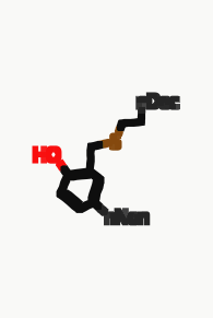 CCCCCCCCCCCCSCc1cc(CCCCCCCCC)ccc1O